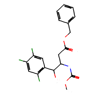 CC(C)(C)OC(=O)NC(CC(=O)OCc1ccccc1)C(O)c1cc(F)c(F)cc1F